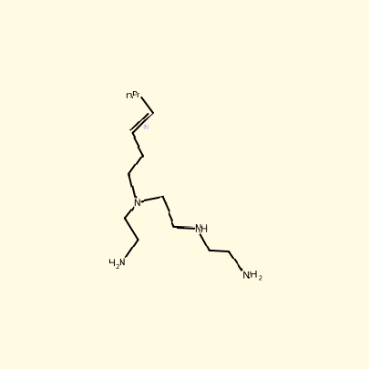 CCC/C=C/CCN(CCN)CCNCCN